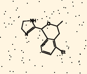 CCc1cccc2c1CC(C)OC2C1=NCCN1